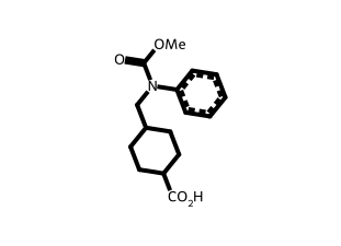 COC(=O)N(CC1CCC(C(=O)O)CC1)c1ccccc1